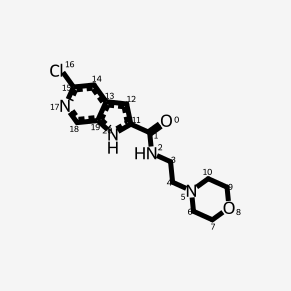 O=C(NCCN1CCOCC1)c1cc2cc(Cl)ncc2[nH]1